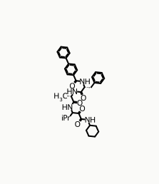 CC(C)C(NC(=O)[C@H](C)NC(=O)[C@@H](Cc1ccccc1)NC(=O)c1ccc(-c2ccccc2)cc1)C(=O)C(=O)NC1CCCCC1